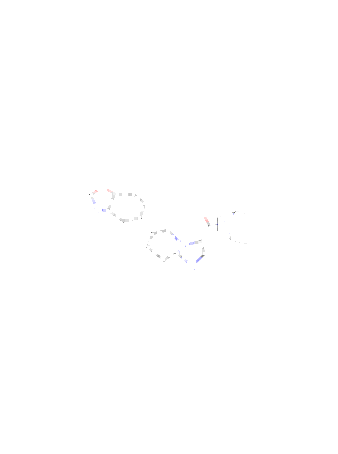 Cc1nc2cc(-c3ccc4ncc(C(=O)N5C6CCC5COC6)n4c3)ccc2o1